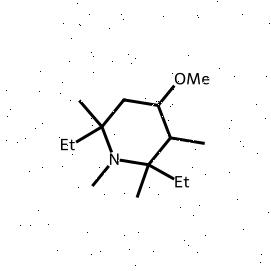 CCC1(C)CC(OC)C(C)C(C)(CC)N1C